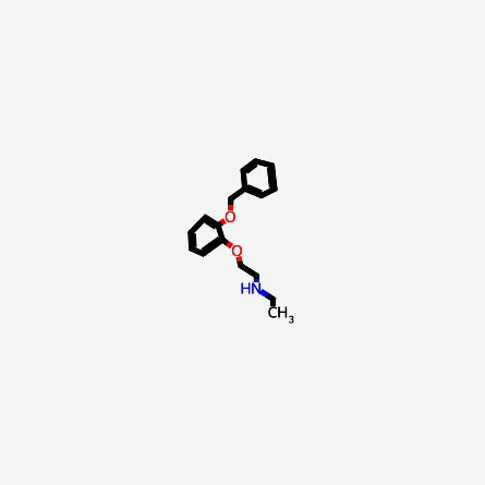 CCNCCOc1ccccc1OCc1ccccc1